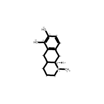 CN1CCCC2Cc3c(ccc(O)c3O)C[C@H]21